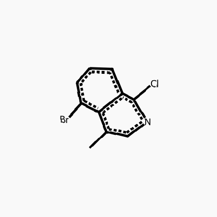 Cc1cnc(Cl)c2cccc(Br)c12